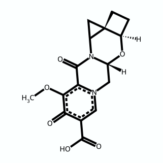 COc1c2n(cc(C(=O)O)c1=O)C[C@H]1O[C@@H]3CC[C@@]34CC4N1C2=O